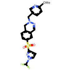 COc1ccc(CN2Cc3ccc(S(=O)(=O)c4ccn(C(F)F)n4)cc3C=N2)cn1